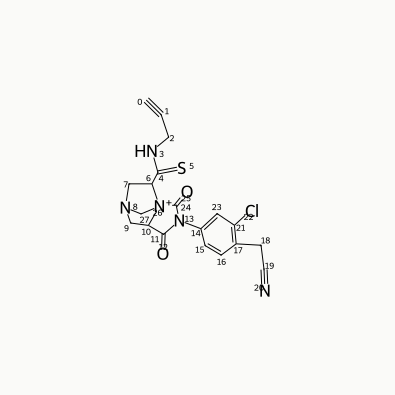 C#CCNC(=S)C1CN2CC3C(=O)N(c4ccc(CC#N)c(Cl)c4)C(=O)[N+]31C2